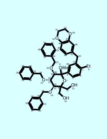 CCc1ccc(C2(OC)OC(CO)(CO)[C@@H](OCc3ccccc3)[C@H](OCc3ccccc3)[C@H]2OCc2ccccc2)cc1Cc1ccc2c(c1)OCCO2